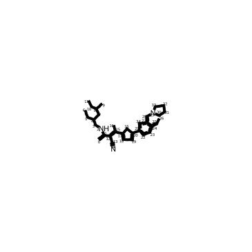 C=C(NCC(CC)CC(C)CC)/C(C#N)=C(\C)C1=CC=C(c2ccc(=C/C)/c(=C\N3CCCC3)c2)C1